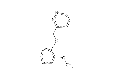 COc1c[c]ccc1OCc1cccnn1